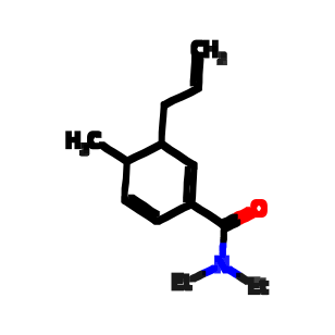 C=CCC1C=C(C(=O)N(CC)CC)C=CC1C